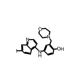 Oc1ccc(Nc2ccnc3cc(I)ccc23)cc1CN1CCOCC1